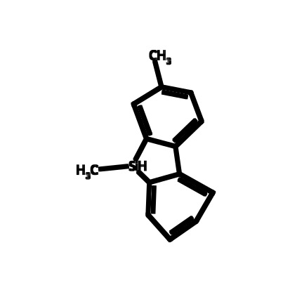 Cc1ccc2c(c1)[SiH](C)c1ccccc1-2